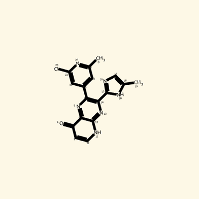 Cc1cc(-c2nc3c(=O)cc[nH]c3nc2-c2ncc(C)[nH]2)cc(Cl)n1